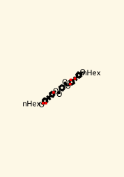 CCCCCCOc1ccc(C(C)(C)c2ccc(OC(=O)[C@H]3CC[C@H](C(=O)Oc4ccc(C(C)(C)c5ccc(OCCCCCC)cc5)cc4)CC3)cc2)cc1